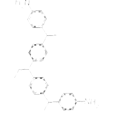 CCC(c1ccc(C(C)c2ccc(N)cc2)cc1)c1ccc(C(C)c2ccc(N)cc2)cc1